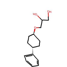 OCC(O)CO[C@H]1CC[C@H](c2ccccc2)CC1